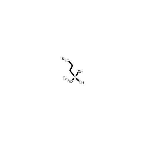 O=C(O)CC[Si](O)(O)O.[Cu]